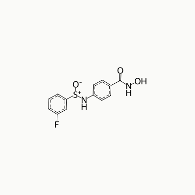 O=C(NO)c1ccc(N[S+]([O-])c2cccc(F)c2)cc1